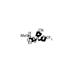 CCc1oc(N(Cc2ccc(C(F)(F)F)nc2)c2ccc(C#N)cc2)nc1C(=O)NSC